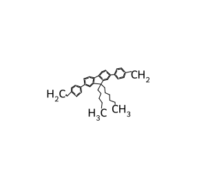 C=Cc1ccc(-c2ccc3c(c2)C(CCCCCC)(CCCCCC)c2cc(-c4ccc(C=C)cc4)ccc2-3)cc1